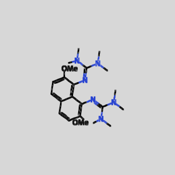 COc1ccc2ccc(OC)c(N=C(N(C)C)N(C)C)c2c1N=C(N(C)C)N(C)C